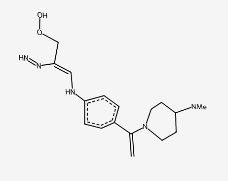 C=C(c1ccc(N/C=C(/COO)N=N)cc1)N1CCC(NC)CC1